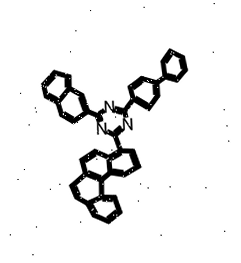 c1ccc(-c2ccc(-c3nc(-c4ccc5ccccc5c4)nc(-c4cccc5c4ccc4ccc6ccccc6c45)n3)cc2)cc1